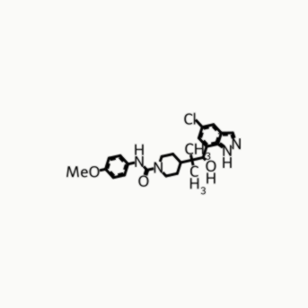 COc1ccc(NC(=O)N2CCC(C(C)(C)C(O)c3cc(Cl)cc4cn[nH]c34)CC2)cc1